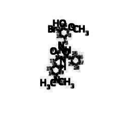 COc1cc(/C=N/NC(=O)/C(=C/c2ccc(N(C)C)cc2)NC(=O)c2ccccc2)cc(Br)c1O